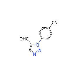 N#Cc1ccc(-n2nncc2C=O)cc1